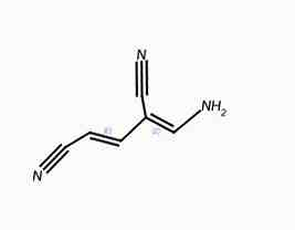 N#C/C=C/C(C#N)=C/N